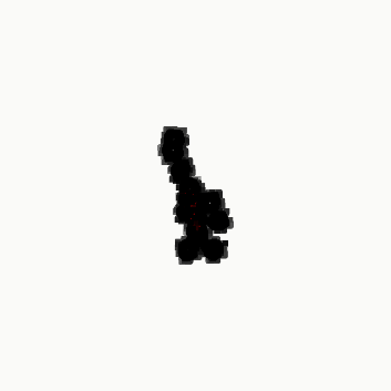 c1ccc(-c2ccccc2-c2c(-c3ccccc3)cccc2N(c2ccc(-c3ccc(-c4ccc5ccccc5c4)cc3)cc2)c2cccc(-c3ccc4c(c3)c3ccccc3n4-c3ccccc3)c2)cc1